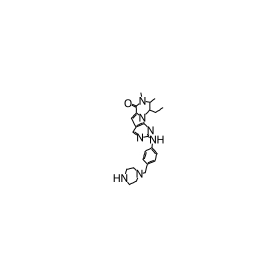 CCC1C(C)N(C)C(=O)c2cc3cnc(Nc4ccc(CN5CCNCC5)cc4)nc3n21